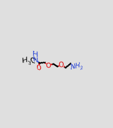 CNC(=O)COCCOCCN